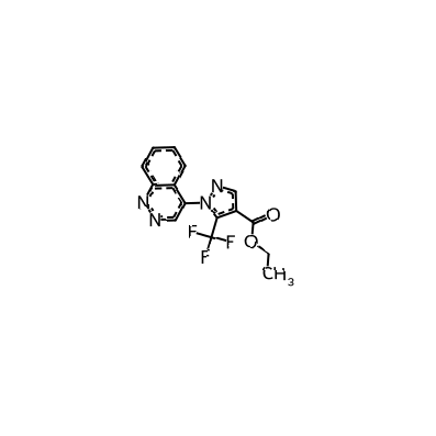 CCOC(=O)c1cnn(-c2cnnc3ccccc23)c1C(F)(F)F